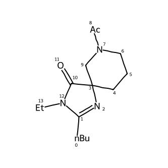 CCCCC1=NC2(CCCN(C(C)=O)C2)C(=O)N1CC